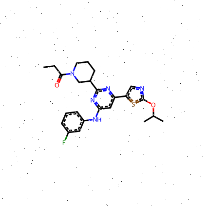 CCC(=O)N1CCCC(c2nc(Nc3cccc(F)c3)cc(-c3cnc(OC(C)C)s3)n2)C1